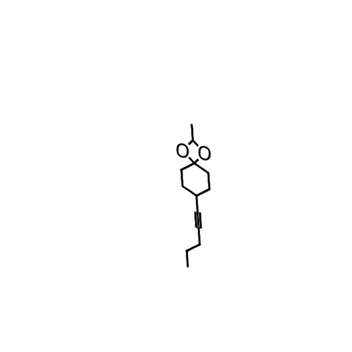 CCCC#CC1CCC2(CC1)OC(C)O2